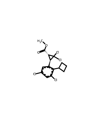 COC(=O)[C@H]1[C@H](c2cc(Cl)cc(Cl)c2C2CCC2)C1(Cl)Cl